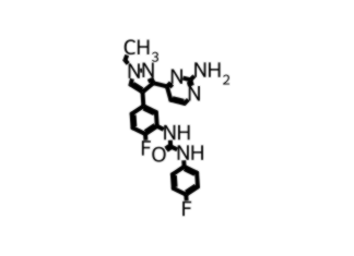 CCn1cc(-c2ccc(F)c(NC(=O)Nc3ccc(F)cc3)c2)c(-c2ccnc(N)n2)n1